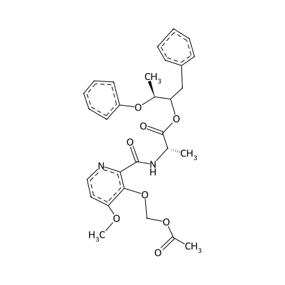 COc1ccnc(C(=O)N[C@@H](C)C(=O)OC(Cc2ccccc2)[C@H](C)Oc2ccccc2)c1OCOC(C)=O